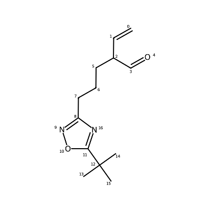 C=CC(C=O)CCCc1noc(C(C)(C)C)n1